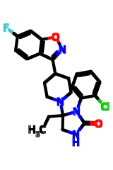 CCC1(N2CCC(c3noc4cc(F)ccc34)CC2)CNC(=O)N1c1ccccc1Cl